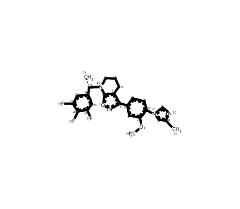 COc1cc(-c2noc3c2CCCN3[C@@H](C)c2cc(F)c(F)c(F)c2)ccc1-n1cnc(C)c1